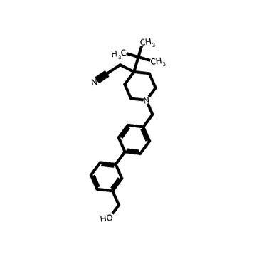 CC(C)(C)C1(CC#N)CCN(Cc2ccc(-c3cccc(CO)c3)cc2)CC1